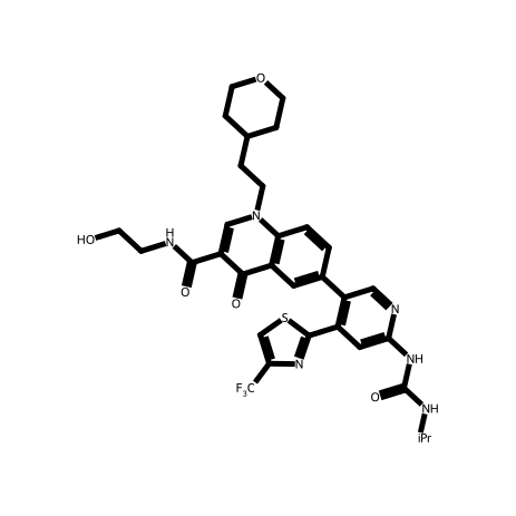 CC(C)NC(=O)Nc1cc(-c2nc(C(F)(F)F)cs2)c(-c2ccc3c(c2)c(=O)c(C(=O)NCCO)cn3CCC2CCOCC2)cn1